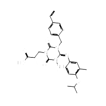 C=Cc1ccc(Cn2c(=O)n(C[C@H](C)C(=O)O)c(=O)n(N)/c2=N\c2ccc(OC(C)C)c(C)c2)cc1